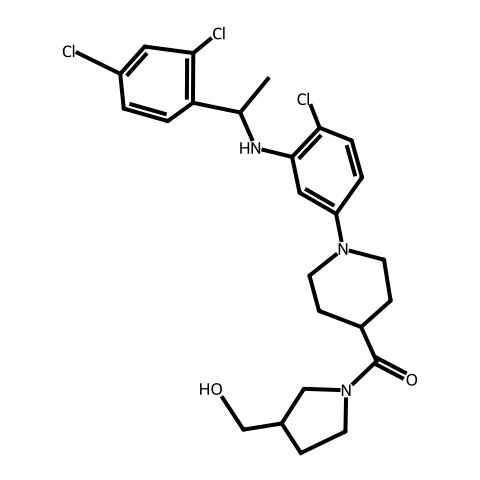 CC(Nc1cc(N2CCC(C(=O)N3CCC(CO)C3)CC2)ccc1Cl)c1ccc(Cl)cc1Cl